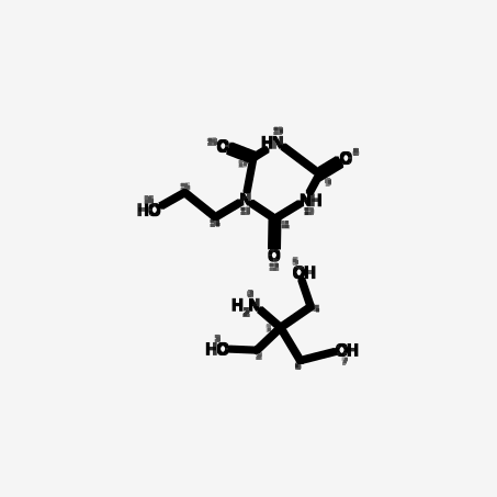 NC(CO)(CO)CO.O=c1[nH]c(=O)n(CCO)c(=O)[nH]1